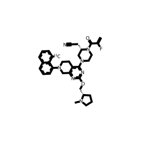 C=C(F)C(=O)N1CCN(c2nc(OC[C@@H]3CCCN3C)nc3c2CCN(c2cccc4cccc([11CH3])c24)C3)C[C@@H]1CC#N